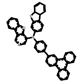 C1=CC2Sc3cc(N(c4ccc(-c5ccc6c7ccccc7c7ccccc7c6c5)cc4)c4cncc5c4oc4ccccc45)ccc3C2C=C1